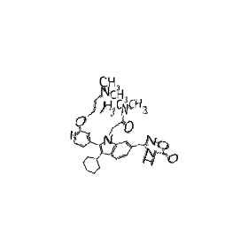 CN(C)CCOc1cc(-c2c(C3CCCCC3)c3ccc(-c4noc(=O)[nH]4)cc3n2CC(=O)N(C)C)ccn1